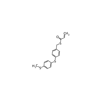 C=CC(=O)SCc1ccc(Sc2ccc(SC)cc2)cc1